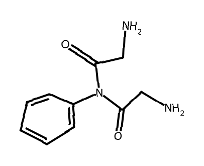 NCC(=O)N(C(=O)CN)c1ccccc1